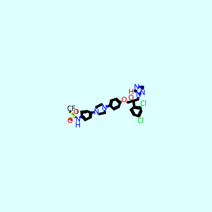 O=S(=O)(CC(F)(F)F)Nc1ccc(N2CCN(c3ccc(OCC(O)(Cn4cncn4)c4ccc(Cl)cc4Cl)cc3)CC2)cc1